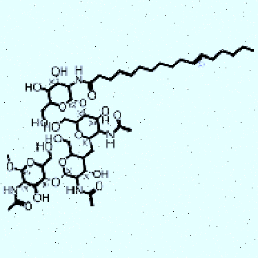 CCCCC/C=C/CCCCCCCCCC(=O)NC1[C@H](O[C@H]2C(CO)O[C@H](CC3C(CO)O[C@@H](O[C@H]4C(CO)O[C@H](OC)[C@H](NC(C)=O)C4O)C(NC(C)=O)[C@H]3O)C(NC(C)=O)[C@@H]2O)OC(CO)C(O)[C@@H]1O